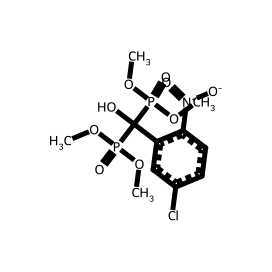 COP(=O)(OC)C(O)(c1cc(Cl)ccc1[N+](=O)[O-])P(=O)(OC)OC